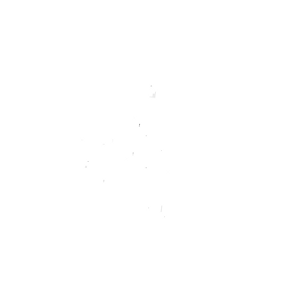 C=CC1(S(=O)(=O)C2(CO[SiH3])CC2)CC1